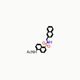 CC(=O)Nc1cccc2c(S(=O)(=O)NCc3ccc4ccccc4c3)cccc12